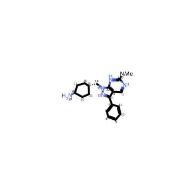 CNc1ncc2c(-c3ccccc3)nn(C[C@H]3CC[C@H](N)CC3)c2n1